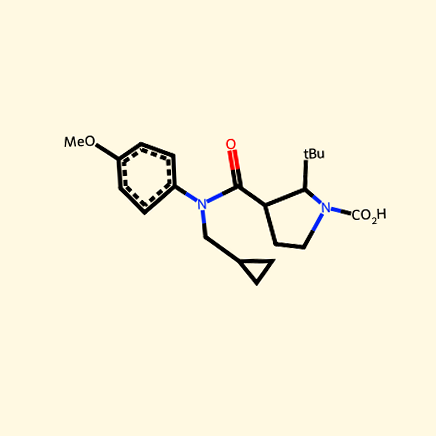 COc1ccc(N(CC2CC2)C(=O)C2CCN(C(=O)O)C2C(C)(C)C)cc1